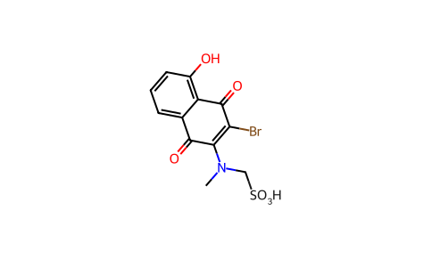 CN(CS(=O)(=O)O)C1=C(Br)C(=O)c2c(O)cccc2C1=O